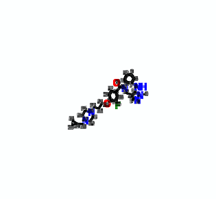 Cn1ncc2c1Nc1ccccc1N(C(=O)c1ccc(OCCCN3CCN(CC4CC4)CC3)c(F)c1)C2